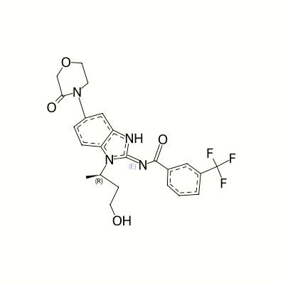 C[C@H](CCO)n1/c(=N/C(=O)c2cccc(C(F)(F)F)c2)[nH]c2cc(N3CCOCC3=O)ccc21